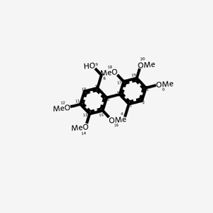 COc1cc(C)c(-c2c(CO)cc(OC)c(OC)c2OC)c(OC)c1OC